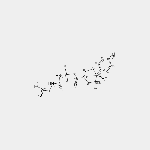 C[C@@H](O)CNC(=O)NC(C)(C)CC(=O)N1CC[C@](O)(c2ccc(Cl)cc2)C(C)(C)C1